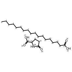 CCCCCCCCCCCCCCCCCC(=O)O.O=C1CCC(C(=O)O)N1